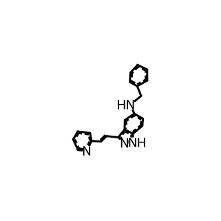 C(=C\c1n[nH]c2ccc(NCc3ccccc3)cc12)/c1ccccn1